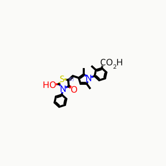 Cc1c(C(=O)O)cccc1-n1c(C)cc(/C=C2/SC(O)N(c3ccccc3)C2=O)c1C